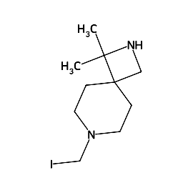 CC1(C)NCC12CCN(CI)CC2